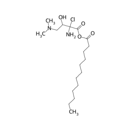 CCCCCCCCCCCC(=O)OC(=O)C(N)(Cl)C(O)CN(C)C